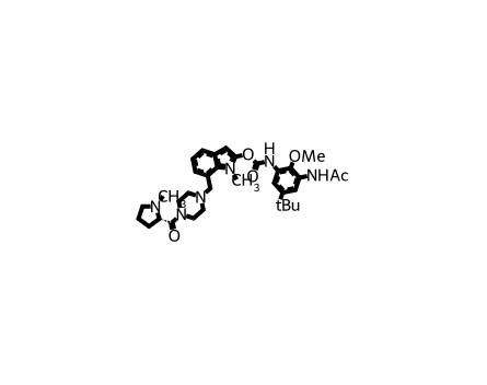 COc1c(NC(C)=O)cc(C(C)(C)C)cc1NC(=O)Oc1cc2cccc(CN3CCN(C(=O)[C@@H]4CCCN4C)CC3)c2n1C